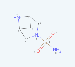 NS(=O)(=O)N1CC2CC(C1)N2